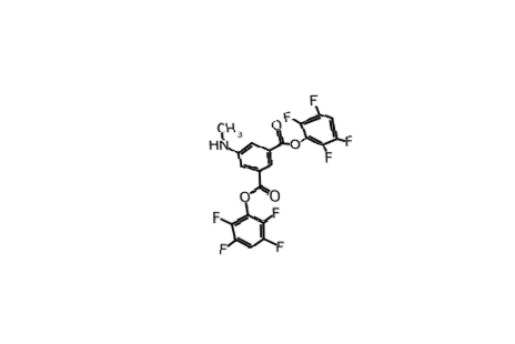 CNc1cc(C(=O)Oc2c(F)c(F)cc(F)c2F)cc(C(=O)Oc2c(F)c(F)cc(F)c2F)c1